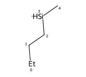 CCCC[SiH]C